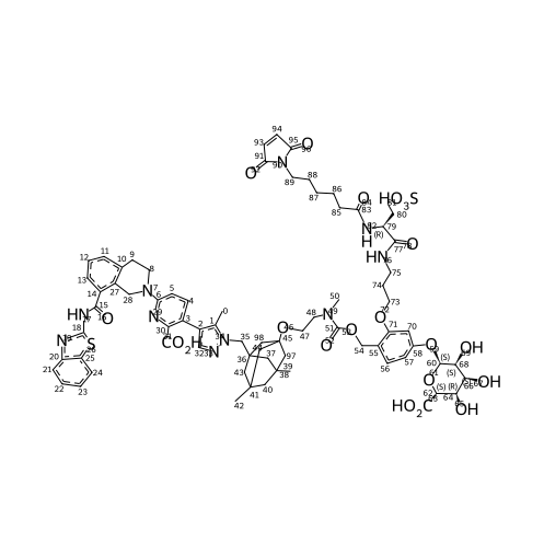 Cc1c(-c2ccc(N3CCc4cccc(C(=O)Nc5nc6ccccc6s5)c4C3)nc2C(=O)O)cnn1CC12CC3(C)CC(C)(C1)CC(OCCN(C)C(=O)OCc1ccc(O[C@@H]4O[C@H](C(=O)O)[C@H](O)[C@H](O)[C@@H]4O)cc1OCCCNC(=O)[C@H](CS(=O)(=O)O)NC(=O)CCCCCN1C(=O)C=CC1=O)(C3)C2